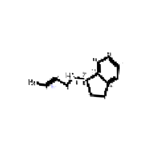 Br/C=C/CN[C@@H]1CCc2ccccc21